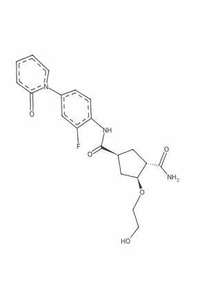 NC(=O)[C@H]1C[C@H](C(=O)Nc2ccc(-n3ccccc3=O)cc2F)C[C@@H]1OCCO